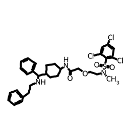 CN(CCOCC(=O)NC1CCC(C(NCCc2ccccc2)c2ccccc2)CC1)S(=O)(=O)c1c(Cl)cc(Cl)cc1Cl